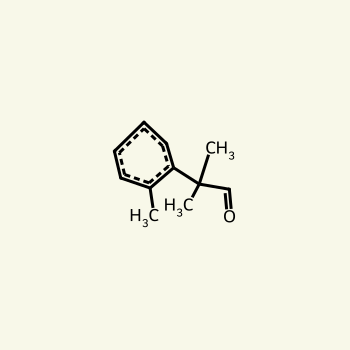 Cc1ccccc1C(C)(C)C=O